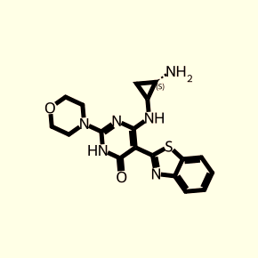 N[C@H]1CC1Nc1nc(N2CCOCC2)[nH]c(=O)c1-c1nc2ccccc2s1